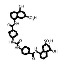 O=C(Nc1ccc(C(=O)Nc2cccc3c(O)cc(S(=O)(=O)O)cc23)cc1)Nc1ccc(C(=O)Nc2cccc3c(O)cc(S(=O)(=O)O)cc23)cc1